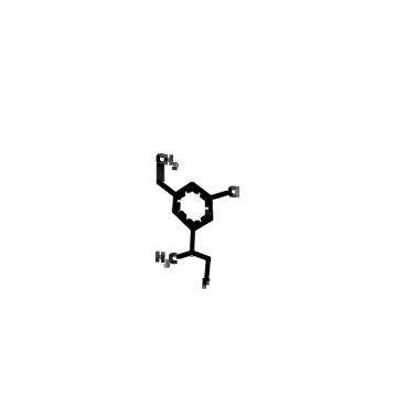 C=Cc1cc(Cl)cc([C](C)CF)c1